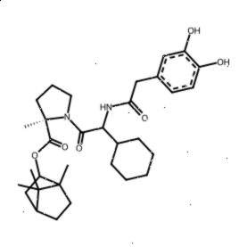 CC1(C)C2CCC1(C)C(OC(=O)[C@@]1(C)CCCN1C(=O)C(NC(=O)Cc1ccc(O)c(O)c1)C1CCCCC1)C2